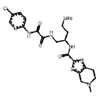 CSCCC(CNC(=O)C(=O)Nc1ccc(Cl)cn1)NC(=O)c1nc2c(s1)CN(C)CC2